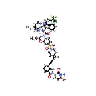 C[C@@H]1CN(C(=O)[C@@H]2N[C@]3(CCCC(C)(C)C3)[C@@]3(CNc4cc(C(F)(F)F)ncc43)[C@H]2c2cccc(Cl)c2F)c2ccc(S(=O)(=O)N3CCC4(CC3)C[C@H]4C#Cc3cccc4c3CN([C@H]3CCC(=O)NC3=O)C4=O)cc2O1